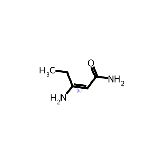 CC/C(N)=C\C(N)=O